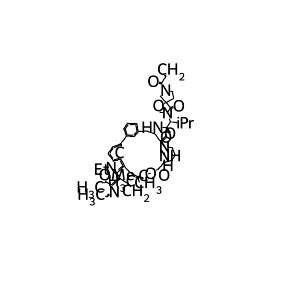 C=CC(=O)N1CCC2(C1)OCN([C@H](C(=O)N[C@H]1Cc3cccc(c3)-c3ccc4c(c3)c(c(/C(C=C)=C(/N=C\C)[C@H](C)OC)n4CC)CC(C)(C)COC(=O)[C@@H]3CCCN(N3)C1=O)C(C)C)C2=O